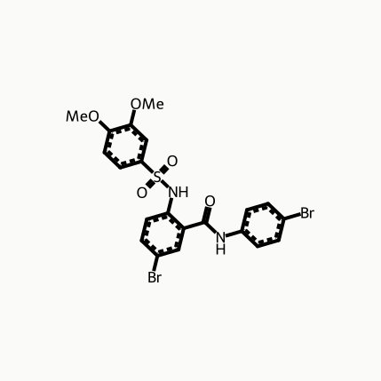 COc1ccc(S(=O)(=O)Nc2ccc(Br)cc2C(=O)Nc2ccc(Br)cc2)cc1OC